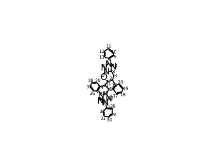 O=C(C(Cc1nnn(-c2ccccc2)n1)c1ccccc1)C(Cc1nnn(-c2ccccc2)n1)c1ccccc1